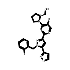 OC[C@@H]1CCCN1c1nc(-c2cc(-c3ccon3)n(Cc3ccccc3F)n2)ncc1F